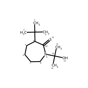 CC(C)(C)C1CCCCN(C(C)(C)O)C1=S